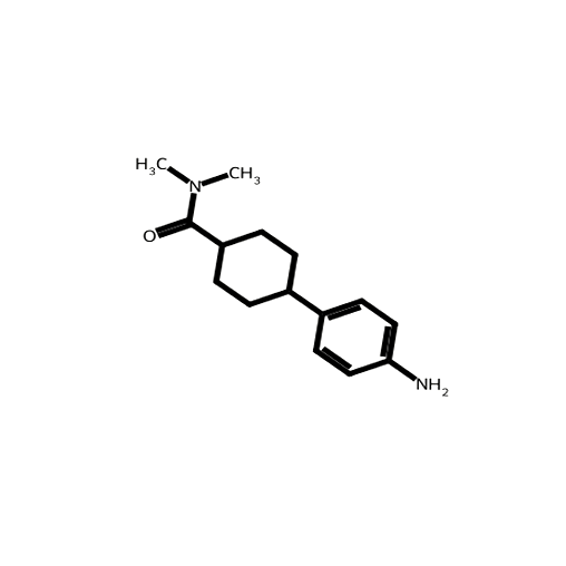 CN(C)C(=O)C1CCC(c2ccc(N)cc2)CC1